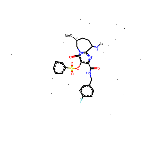 CCNC1CC[C@H](OC)Cn2c1nc(C(=O)NCc1ccc(F)cc1)c(OS(=O)(=O)c1ccccc1)c2=O